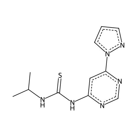 CC(C)NC(=S)Nc1cc(-n2cccn2)ncn1